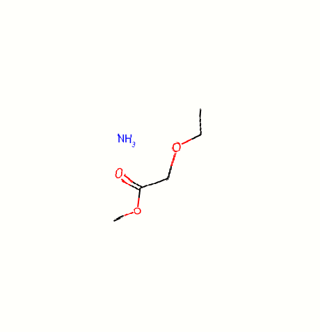 CCOCC(=O)OC.N